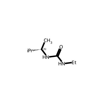 CCNC(=O)N[C@@H](C)C(C)C